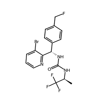 C[C@H](NC(=O)N[C@@H](c1ccc(CF)cc1)c1ncccc1Br)C(F)(F)F